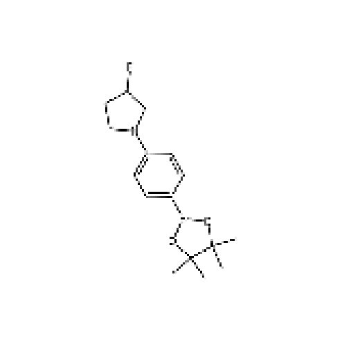 CC1(C)OB(c2ccc(N3CCC(F)C3)cc2)OC1(C)C